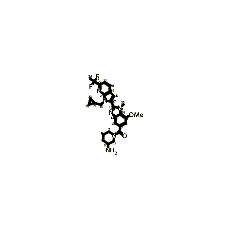 COc1cc(C(=O)N2CCCC(N)C2)cc2nc(-c3cc4ccc(C(C)(F)F)nc4n3CC3CC3)n(C)c12